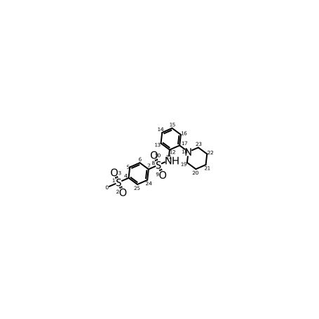 CS(=O)(=O)c1ccc(S(=O)(=O)Nc2ccccc2N2CCCCC2)cc1